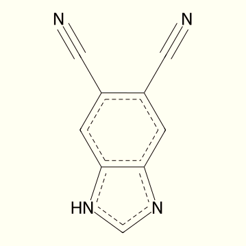 N#Cc1cc2nc[nH]c2cc1C#N